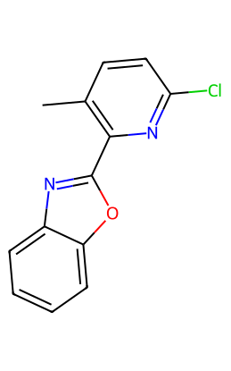 Cc1ccc(Cl)nc1-c1nc2ccccc2o1